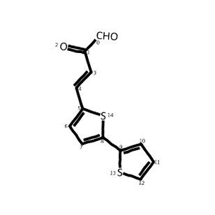 O=CC(=O)/C=C/c1ccc(-c2cccs2)s1